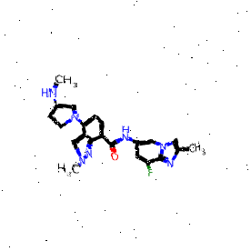 CN[C@H]1CCN(c2ccc(C(=O)Nc3cc(F)c4nc(C)cn4c3)c3nn(C)cc23)C1